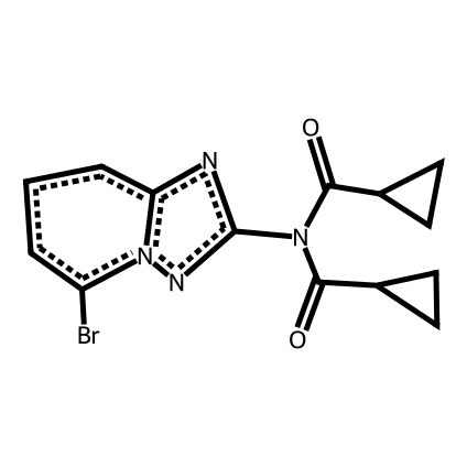 O=C(C1CC1)N(C(=O)C1CC1)c1nc2cccc(Br)n2n1